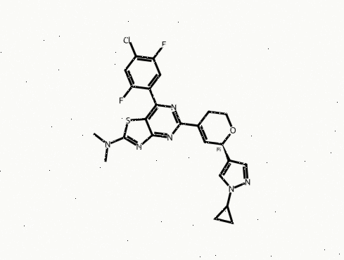 CN(C)c1nc2nc(C3=C[C@H](c4cnn(C5CC5)c4)OCC3)nc(-c3cc(F)c(Cl)cc3F)c2s1